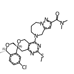 CSc1nc2c(c(N3CCCn4nc(C(=O)N(C)C)cc4C3)n1)CO[C@]1(CO[C@@H](C)c3ccc(Cl)cc31)C2